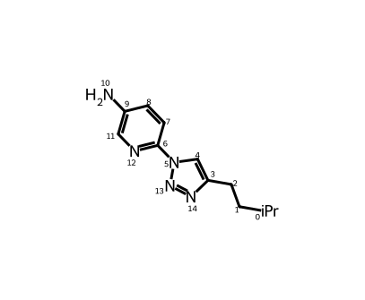 CC(C)CCc1cn(-c2ccc(N)cn2)nn1